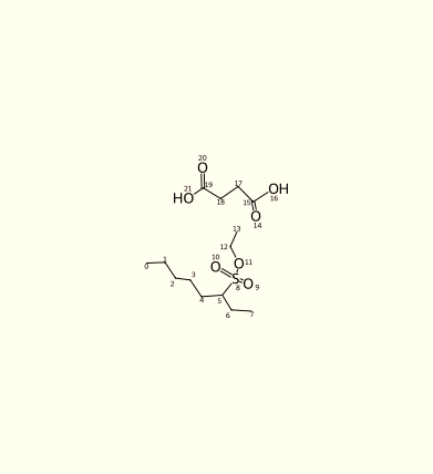 CCCCCC(CC)S(=O)(=O)OCC.O=C(O)CCC(=O)O